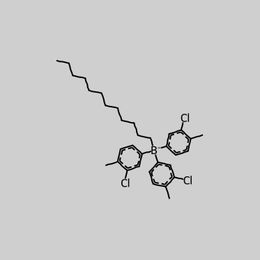 CCCCCCCCCCCC[B-](c1ccc(C)c(Cl)c1)(c1ccc(C)c(Cl)c1)c1ccc(C)c(Cl)c1